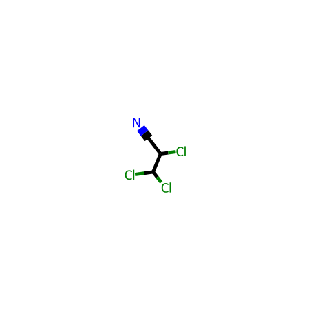 N#CC(Cl)C(Cl)Cl